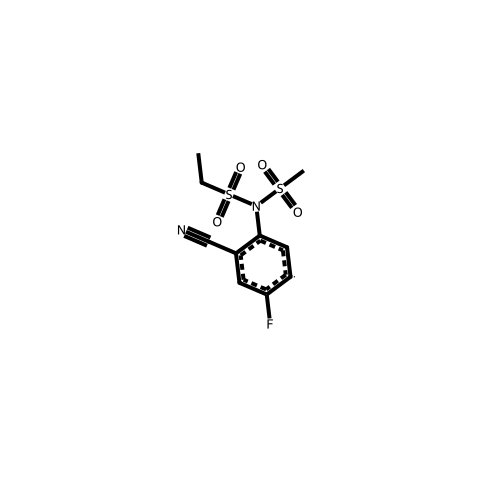 CCS(=O)(=O)N(c1c[c]c(F)cc1C#N)S(C)(=O)=O